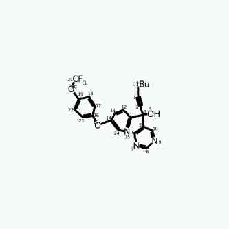 CC(C)(C)C#CC(O)(c1cncnc1)c1ccc(Oc2ccc(OC(F)(F)F)cc2)cn1